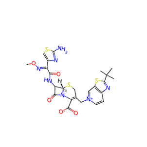 CON=C(C(=O)NC1C(=O)N2C(C(=O)[O-])=C(C[n+]3ccc4nc(C(C)(C)C)sc4c3)CS[C@@H]12)c1csc(N)n1